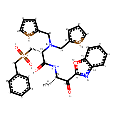 CCC[C@H](NC(=O)[C@H](CS(=O)(=O)Cc1ccccc1)N(Cc1cccs1)Cc1cccs1)C(=O)c1nc2ccccc2o1